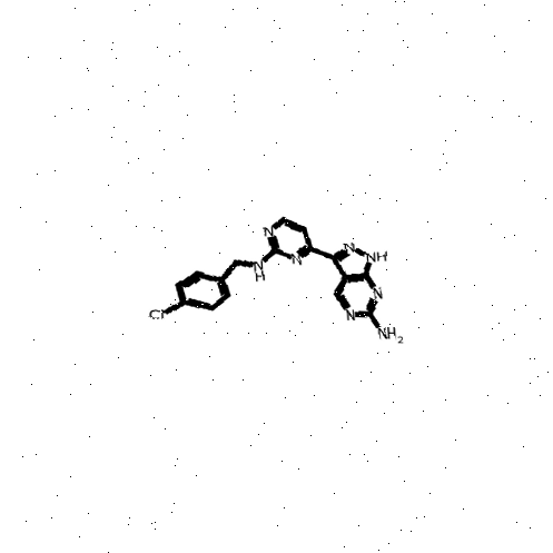 Nc1ncc2c(-c3ccnc(NCc4ccc(Cl)cc4)n3)n[nH]c2n1